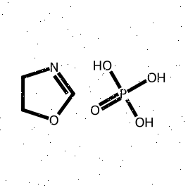 C1=NCCO1.O=P(O)(O)O